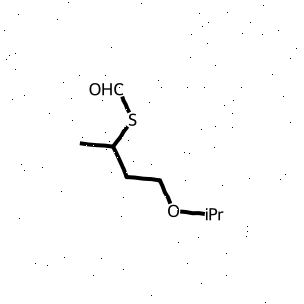 CC(C)OCCC(C)SC=O